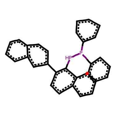 c1ccc(P(Pc2c(-c3ccc4ccccc4c3)ccc3ccccc23)c2ccccc2)cc1